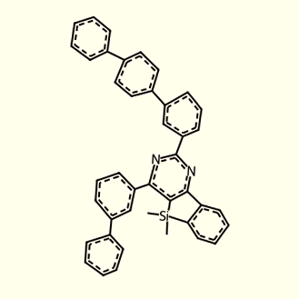 C[Si]1(C)c2ccccc2-c2nc(-c3cccc(-c4ccc(-c5ccccc5)cc4)c3)nc(-c3cccc(-c4ccccc4)c3)c21